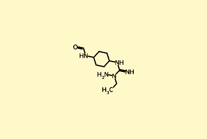 CCN(N)C(=N)NC1CCC(NC=O)CC1